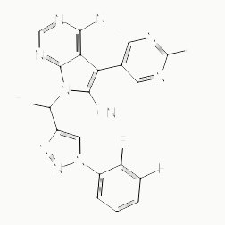 CCC(c1cn(-c2cccc(F)c2F)nn1)n1c(C#N)c(-c2cnc(C(F)(F)F)nc2)c2c(N)ncnc21